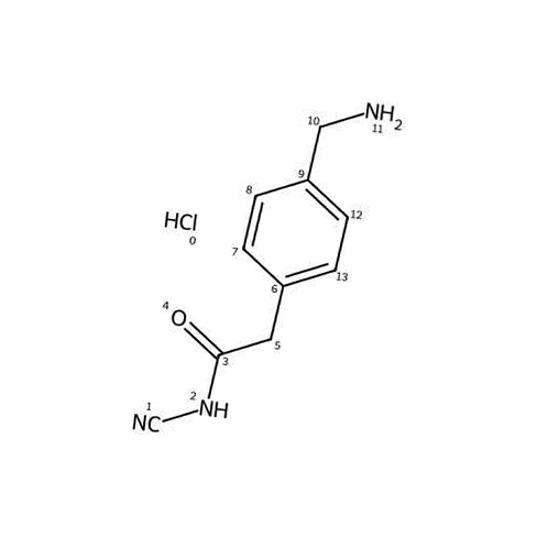 Cl.N#CNC(=O)Cc1ccc(CN)cc1